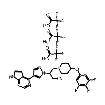 N#CCC(CN1CCC(Oc2cc(F)c(F)c(F)c2)CC1)n1cc(-c2ncnc3[nH]ccc23)cn1.O=C(O)C(F)(F)F.O=C(O)C(F)(F)F.O=C(O)C(F)(F)F